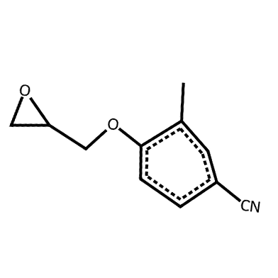 Cc1cc(C#N)ccc1OCC1CO1